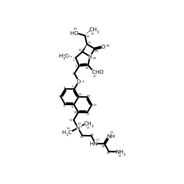 C[C@H]1C(COc2cccc3c(C[N+](C)(C)CCNC(=N)CN)cccc23)=C(C=O)N2C(=O)[C@H]([C@@H](C)O)C12